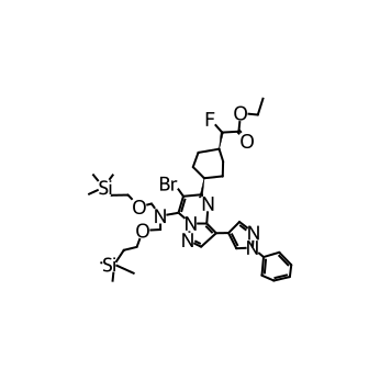 CCOC(=O)C(F)[C@H]1CC[C@@H](c2nc3c(-c4cnn(-c5ccccc5)c4)cnn3c(N(COCC[Si](C)(C)C)COCC[Si](C)(C)C)c2Br)CC1